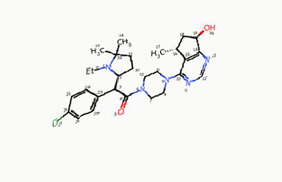 CCN1[C@H](C(C(=O)N2CCN(c3ncnc4c3[C@H](C)C[C@H]4O)CC2)c2ccc(Cl)cc2)CCC1(C)C